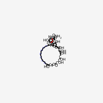 C[C@H]1C[C@H](O)[C@@H](C)/C=C/C=C/C=C/C=C/C=C/C=C/C=C/C(O[C@@H]2OC[C@@H](O)[C@H](N)[C@@H]2O)C[C@@H]2OC(O)(CC(O)C[C@@H](O)C(O)CCC(O)CC(O)CC(=O)O1)C[C@H](O)[C@H]2C(=O)N1CC(C(N)=O)C1